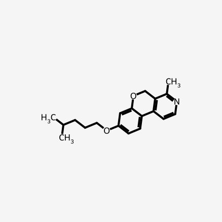 Cc1nccc2c1COc1cc(OCCCC(C)C)ccc1-2